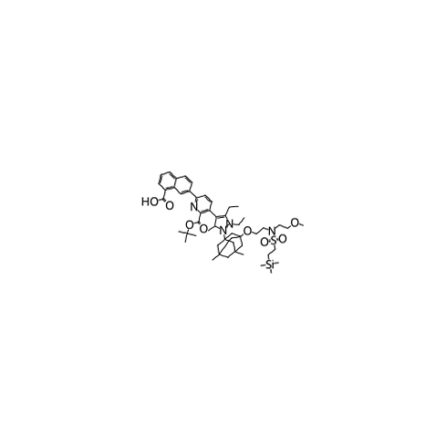 CCC1=C(c2ccc(-c3ccc4cccc(C(=O)O)c4c3)nc2C(=O)OC(C)(C)C)C(C)N(C23CC4(C)CC(C)(CC(OCCN(CCOC)S(=O)(=O)CC[Si](C)(C)C)(C4)C2)C3)N1CC